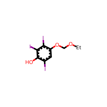 CCOCOc1cc(I)c(O)c(I)c1I